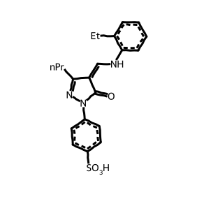 CCCC1=NN(c2ccc(S(=O)(=O)O)cc2)C(=O)C1=CNc1ccccc1CC